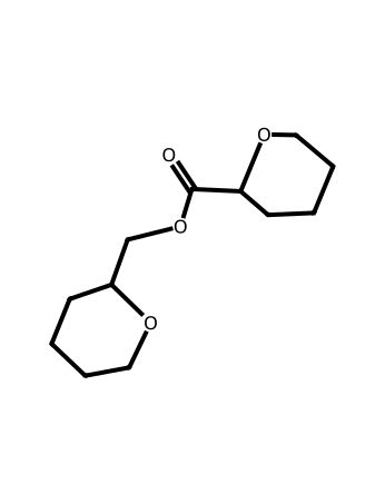 O=C(OCC1CCCCO1)C1CCCCO1